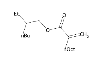 C=C(CCCCCCCC)C(=O)OCC(CC)CCCC